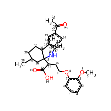 COc1ccccc1OCCC(C(=O)O)C1(Nc2ccc(C(C)=O)cc2)CC(C)CCC1C(C)C